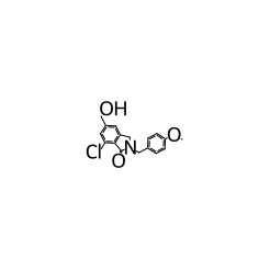 COc1ccc(CN2Cc3cc(CO)cc(Cl)c3C2=O)cc1